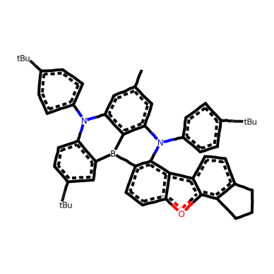 Cc1cc2c3c(c1)N(c1ccc(C(C)(C)C)cc1)c1c(ccc4oc5c6c(ccc5c14)CCC6)B3c1cc(C(C)(C)C)ccc1N2c1ccc(C(C)(C)C)cc1